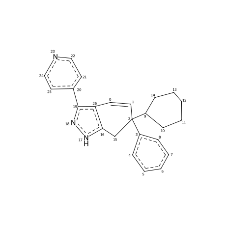 C1=CC(c2ccccc2)(C2CCCCC2)Cc2[nH]nc(-c3ccncc3)c21